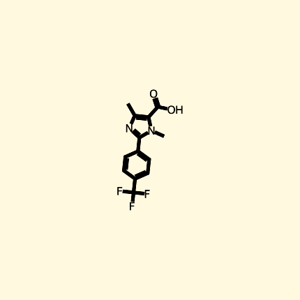 Cc1nc(-c2ccc(C(F)(F)F)cc2)n(C)c1C(=O)O